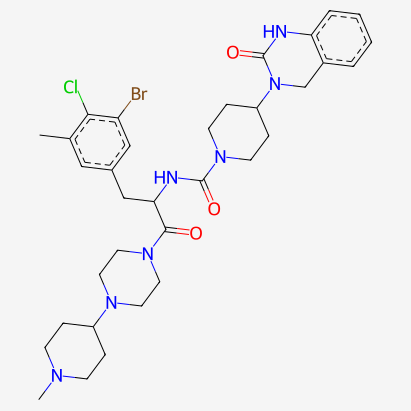 Cc1cc(CC(NC(=O)N2CCC(N3Cc4ccccc4NC3=O)CC2)C(=O)N2CCN(C3CCN(C)CC3)CC2)cc(Br)c1Cl